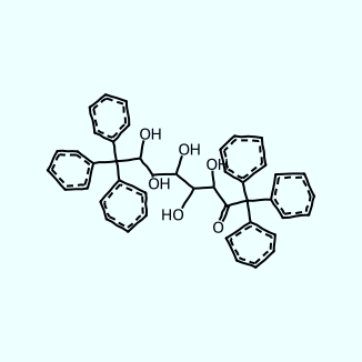 O=C(C(O)C(O)C(O)C(O)C(O)C(c1ccccc1)(c1ccccc1)c1ccccc1)C(c1ccccc1)(c1ccccc1)c1ccccc1